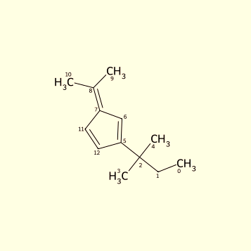 CCC(C)(C)C1=CC(=C(C)C)C=C1